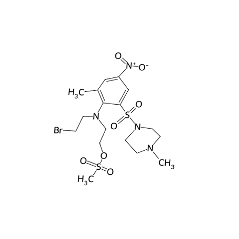 Cc1cc([N+](=O)[O-])cc(S(=O)(=O)N2CCN(C)CC2)c1N(CCBr)CCOS(C)(=O)=O